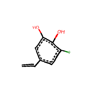 C=Cc1cc(O)c(O)c(F)c1